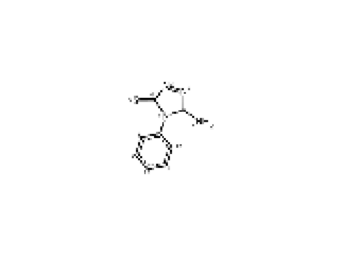 NC1N=NC(=S)N1c1ccccc1